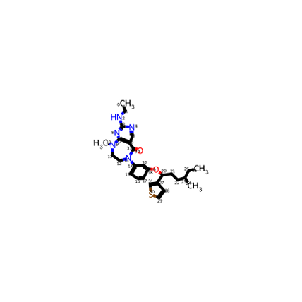 CCNc1ncc2c(n1)N(C)CCN(c1cccc(OC(CCC(C)CC)c3ccsc3)c1)C2=O